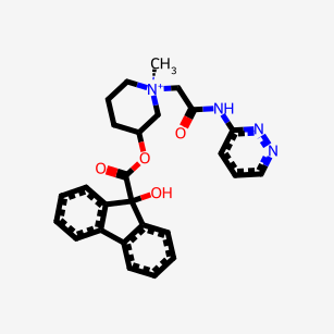 C[N@@+]1(CC(=O)Nc2cccnn2)CCCC(OC(=O)C2(O)c3ccccc3-c3ccccc32)C1